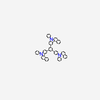 c1ccc(N(c2ccc(-c3cc(-c4ccc5c(c4)c4c6ccccc6ccc4n5-c4ccccc4)cc(-c4ccc5c(c4)c4c6ccccc6ccc4n5-c4ccccc4)c3)cc2)c2cccc3ccccc23)cc1